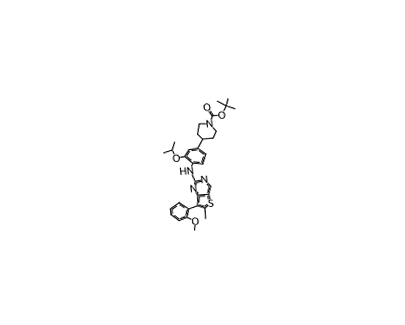 COc1ccccc1-c1c(C)sc2cnc(Nc3ccc(C4CCN(C(=O)OC(C)(C)C)CC4)cc3OC(C)C)nc12